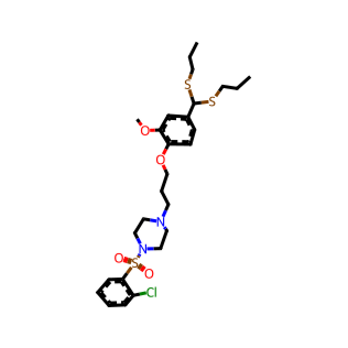 CCCSC(SCCC)c1ccc(OCCCN2CCN(S(=O)(=O)c3ccccc3Cl)CC2)c(OC)c1